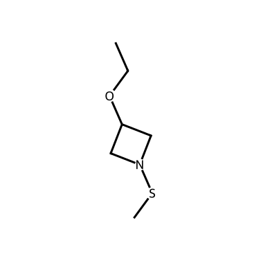 CCOC1CN(SC)C1